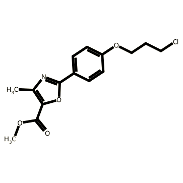 COC(=O)c1oc(-c2ccc(OCCCCl)cc2)nc1C